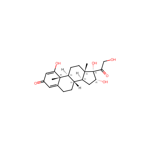 C[C@]12C(O)=CC(=O)C=C1CC[C@@H]1[C@@H]2CC[C@@]2(C)[C@H]1C[C@@H](O)[C@]2(O)C(=O)CO